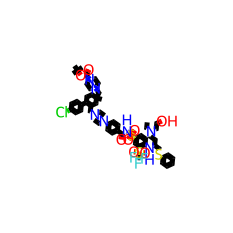 CCN(CCO)CCC(CSc1ccccc1)Nc1ccc(S(=O)(=O)NC(=O)c2ccc(N3CCN(CC4=C(c5ccc(Cl)cc5)CCC(C)(CN5CCN(C(=O)OC(C)(C)C)CC5)C4)CC3)cc2)cc1S(=O)(=O)C(F)(F)F